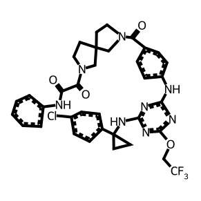 O=C(Nc1ccccc1)C(=O)N1CCC2(CCN(C(=O)c3ccc(Nc4nc(NC5(c6ccc(Cl)cc6)CC5)nc(OCC(F)(F)F)n4)cc3)C2)C1